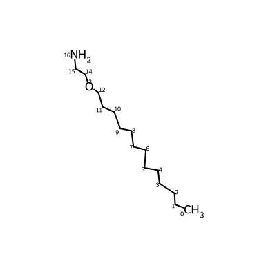 CCCCCCCCCCCCCOCCN